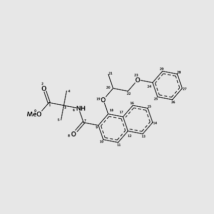 COC(=O)C(C)(C)NC(=O)c1ccc2ccccc2c1OC(C)COc1ccccc1